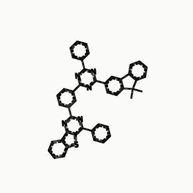 CC1(C)c2ccccc2-c2cc(-c3nc(-c4ccccc4)nc(-c4cccc(-c5nc(-c6ccccc6)c6sc7ccccc7c6n5)c4)n3)ccc21